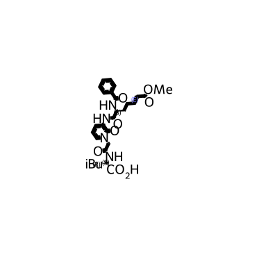 CC[C@@H](C)[C@H](NC(=O)Cn1cccc(NC(=O)[C@H](CC/C=C/C(=O)OC)NC(=O)c2ccccc2)c1=O)C(=O)O